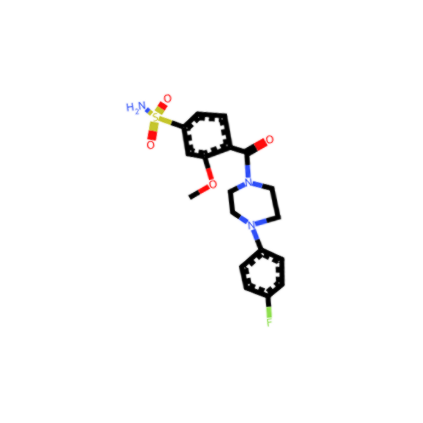 COc1cc(S(N)(=O)=O)ccc1C(=O)N1CCN(c2ccc(F)cc2)CC1